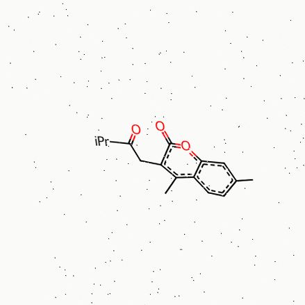 Cc1ccc2c(C)c(CC(=O)C(C)C)c(=O)oc2c1